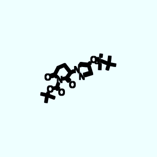 CC(C)(C)OC(=O)N1C(=O)CCC(n2cc(O[Si](C)(C)C(C)(C)C)cn2)C1=O